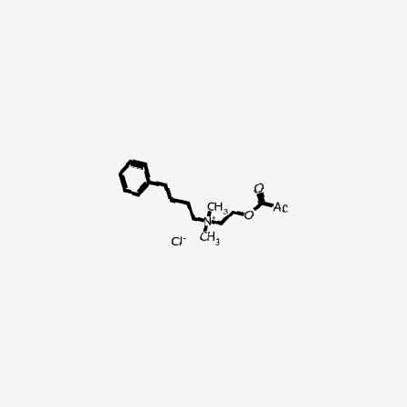 CC(=O)C(=O)OCC[N+](C)(C)CCCCc1ccccc1.[Cl-]